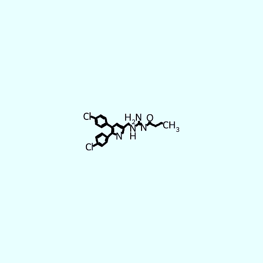 CCCC(=O)/N=C(\N)NCc1cnc(-c2ccc(Cl)cc2)c(-c2ccc(Cl)cc2)c1